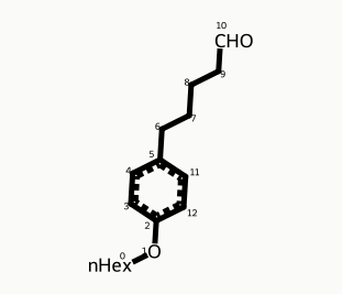 CCCCCCOc1ccc(CCCCC=O)cc1